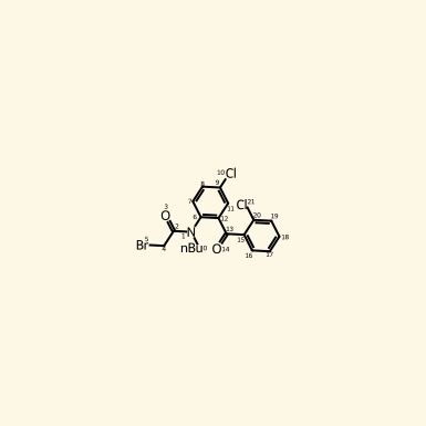 CCCCN(C(=O)CBr)c1ccc(Cl)cc1C(=O)c1ccccc1Cl